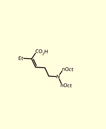 CCCCCCCCN(CCC=C(CC)C(=O)O)CCCCCCCC